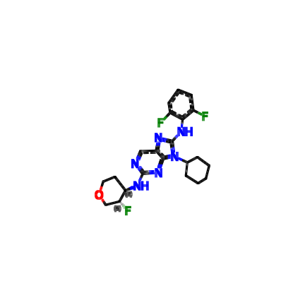 Fc1cccc(F)c1Nc1nc2cnc(N[C@@H]3CCOC[C@H]3F)nc2n1C1CCCCC1